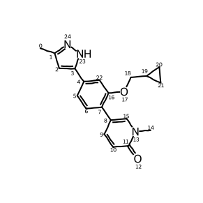 Cc1cc(-c2ccc(-c3ccc(=O)n(C)c3)c(OCC3CC3)c2)[nH]n1